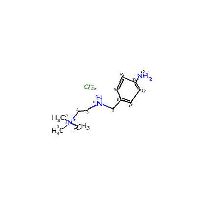 C[N+](C)(C)CCNCc1ccc(N)cc1.[Cl-]